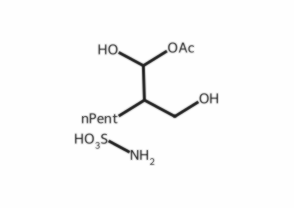 CCCCCC(CO)C(O)OC(C)=O.NS(=O)(=O)O